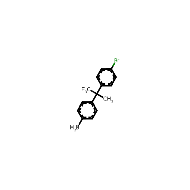 Bc1ccc(C(C)(c2ccc(Br)cc2)C(F)(F)F)cc1